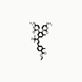 CCOC(=O)c1ccc(/C=C/C(c2cc(C)c(-n3ccc(N)nc3=O)c(-n3ccc(N)nc3=O)c2)C(F)(F)F)cc1C